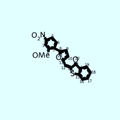 COc1cc([N+](=O)[O-])ccc1-c1ccc(C=C2Sc3ccccc3C2=O)o1